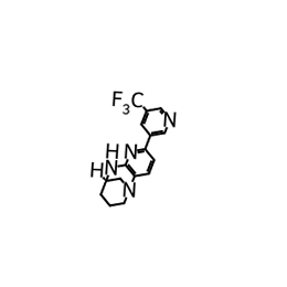 FC(F)(F)c1cncc(-c2ccc3c(n2)N[C@H]2CCCN3C2)c1